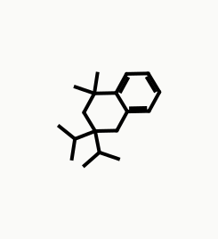 CC(C)C1(C(C)C)Cc2ccccc2C(C)(C)C1